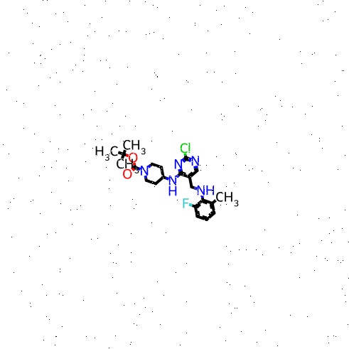 Cc1cccc(F)c1NCc1cnc(Cl)nc1NC1CCN(C(=O)OC(C)(C)C)CC1